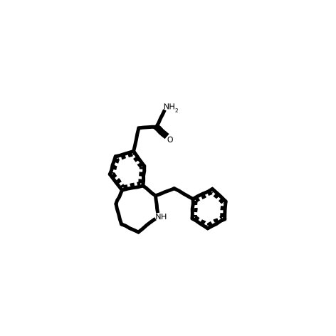 NC(=O)Cc1ccc2c(c1)C(Cc1ccccc1)NCCC2